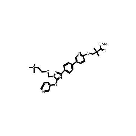 COC(=O)C(C)(C)COc1ccc(-c2ccc(-c3nc(Oc4cccnc4)n(COCCS(C)(C)C)n3)cc2)cn1